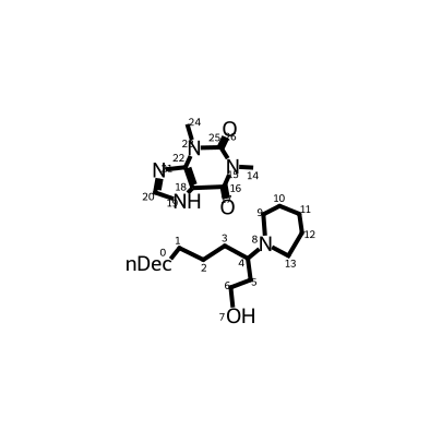 CCCCCCCCCCCCCC(CCO)N1CCCCC1.Cn1c(=O)c2[nH]cnc2n(C)c1=O